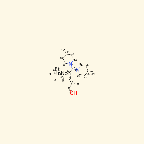 CCC(C)(C)CCCC(C)CO.CCCCCCCCCC(N1CCC(C)CC1)N1CCC(C)CC1